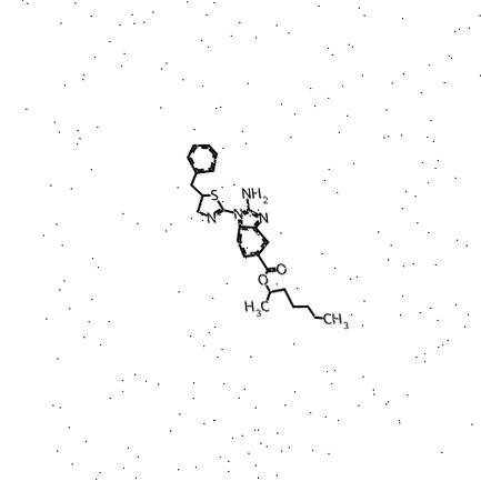 CCCCCC(C)OC(=O)c1ccc2c(c1)nc(N)n2C1=NCC(Cc2ccccc2)S1